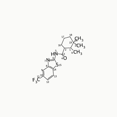 CC1C(C(=O)Nc2nc3cc(C(F)(F)F)ccc3s2)CCCC1(C)C